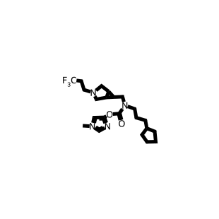 Cn1cnc(OC(=O)N(CCCC2CCCC2)CC2C3CN(CCC(F)(F)F)CC32)c1